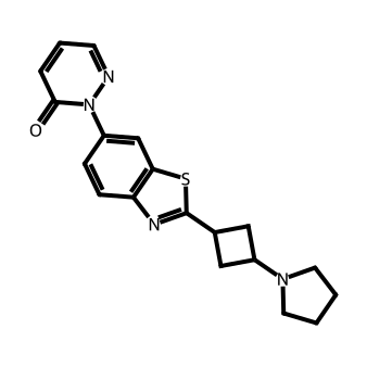 O=c1cccnn1-c1ccc2nc(C3CC(N4CCCC4)C3)sc2c1